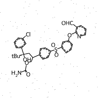 CC(C)(C)[C@](O)(CC(COC(N)=O)c1ccc(S(=O)(=O)c2cccc(Oc3ncccc3C=O)c2)cc1)c1cccc(Cl)c1